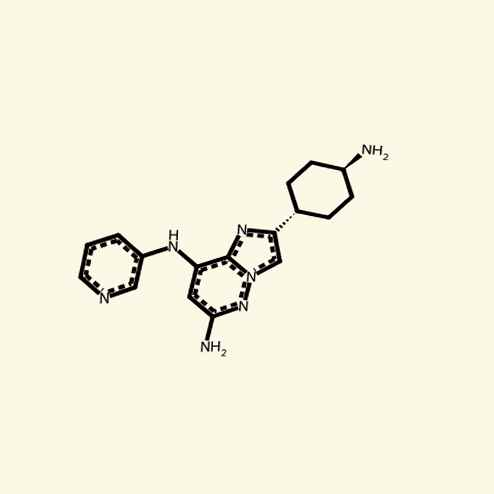 Nc1cc(Nc2cccnc2)c2nc([C@H]3CC[C@H](N)CC3)cn2n1